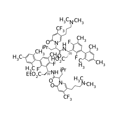 CCOC(=O)C[C@H](NC(=O)C(CC(C)C)n1cc(CCCN(C)C)c(C(F)(F)F)cc1=O)c1c(F)c(C)cc(-c2c(C)cc(C)cc2C)c1F.Cc1cc(C)c(-c2cc(C)c(F)c([C@H](CC(=O)O)NC(=O)C(CC(C)C)n3cc(CCCN(C)C)c(C(F)(F)F)cc3=O)c2F)c(C)c1